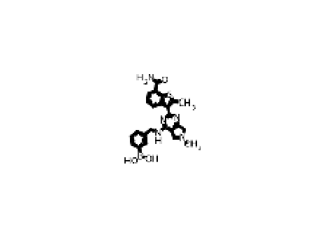 Cc1sc2c(C(N)=O)cccc2c1-c1nc2c(c(NCc3cccc(B(O)O)c3)n1)CN(C)C2